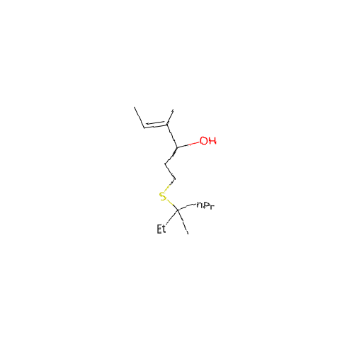 CC=C(C)C(O)CCSC(C)(CC)CCC